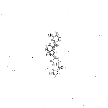 O=C([C@H]1CCNC1)N1CC=C(c2cc3c(Nc4ccc(F)c(Cl)c4)ccnc3[nH]2)CC1